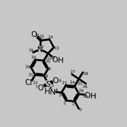 Cc1cc(NS(=O)(=O)c2cc(C3(O)CCC(=O)N3C)ccc2Cl)cc(C(C)(C)C)c1O